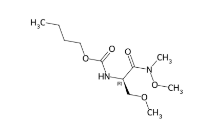 CCCCOC(=O)N[C@H](COC)C(=O)N(C)OC